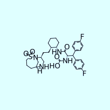 O=C(O)N[C@H](C(=O)N[C@H]1CCCC[C@@H]1CC[C@H]1CN[C@@H]2CCCS(=O)(=O)N1C2)C(c1ccc(F)cc1)c1ccc(F)cc1